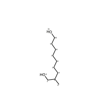 CC(CO)CCCCCCCO